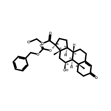 C[C@]12CCC(=O)C=C1CC[C@@H]1[C@@H]2[C@@H](O)C[C@@]2(C)[C@H]1CC[C@]2(OC(=O)OCc1ccccc1)C(=O)OCCl